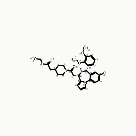 CCOC(=O)CC1CCN(C(=O)C[C@H]2S[C@H](c3cccc(OC)c3OC)c3cc(Cl)ccc3-n3cccc32)CC1